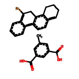 BrC1=c2ccccc2=c2ccc3c(c2C1)CCCC=3.Cc1cc(C(=O)O)cc(C(=O)O)c1